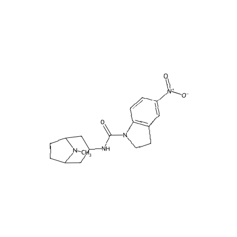 CN1C2CCC1CC(NC(=O)N1CCc3cc([N+](=O)[O-])ccc31)C2